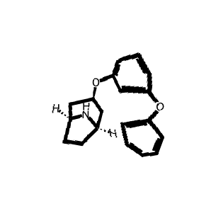 c1ccc(Oc2cccc(O[C@H]3C[C@H]4CC[C@@H](C3)N4)c2)cc1